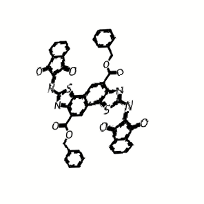 O=C(OCc1ccccc1)c1cc2c(cc(C(=O)OCc3ccccc3)c3nc(N=c4c(=O)c5ccccc5c4=O)sc32)c2sc(N=c3c(=O)c4ccccc4c3=O)nc12